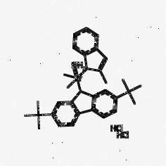 CC1=Cc2ccccc2[CH]1[Zr]([CH3])([CH3])(=[SiH2])[CH]1c2cc(C(C)(C)C)ccc2-c2ccc(C(C)(C)C)cc21.Cl.Cl